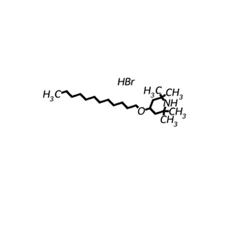 Br.CCCCCCCCCCCCOC1CC(C)(C)NC(C)(C)C1